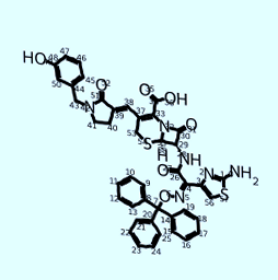 Nc1nc(/C(=N/OC(c2ccccc2)(c2ccccc2)c2ccccc2)C(=O)N[C@@H]2C(=O)N3C(C(=O)O)=C(/C=C4\CCN(Cc5cccc(O)c5)C4=O)CS[C@H]23)cs1